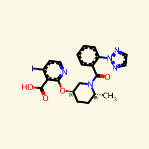 C[C@@H]1CC[C@@H](Oc2nccc(I)c2C(=O)O)CN1C(=O)c1ccccc1-n1nccn1